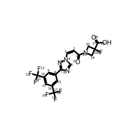 O=C(/C=C\n1cnc(-c2cc(C(F)(F)F)cc(C(F)(F)F)c2)n1)N1CC(F)(C(=O)O)C1